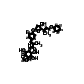 CC(=Cc1ccc(O[C@H]2C[C@H](O)[C@@H](C(C)=CCOc3ccccc3)O2)c(F)c1)C(=O)N[C@@H]1[C@H](O)[C@@H](O)[C@H]2OCO[C@H]2[C@@H]1O